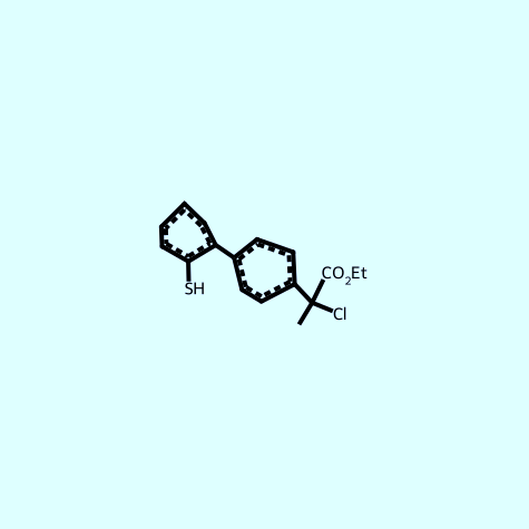 CCOC(=O)C(C)(Cl)c1ccc(-c2ccccc2S)cc1